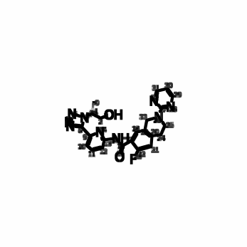 C[C@H](CO)n1nnnc1-c1cccc(NC(=O)c2cc3c(cc2F)CCN(c2ncccn2)C3)n1